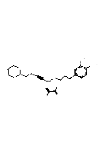 COc1ccc(CCCNCC#CCCC2SCCCS2)cc1OC.O=C(O)C(=O)O